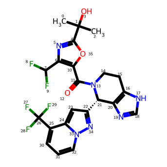 CC(C)(O)c1nc(C(F)F)c(C(=O)N2CCc3[nH]cnc3[C@@H]2c2cc3c(C(F)(F)F)cccn3n2)o1